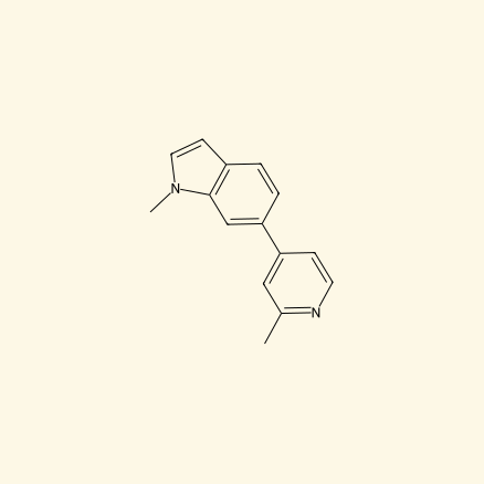 Cc1cc(-c2ccc3ccn(C)c3c2)ccn1